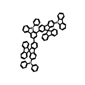 c1ccc(N(c2ccccc2)c2ccc3c(c2)C2(c4ccccc4-c4ccccc42)c2cc(-c4cc(-c5ccc6c(c5)C5(c7ccccc7-c7ccccc75)c5cc(-n7c8ccccc8c8ccccc87)ccc5-6)c5c(c4)c4ccccc4n5-c4ccccc4)ccc2-3)cc1